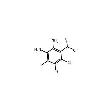 Cc1c(N)c(N)c(C(Cl)Cl)c(Cl)c1Cl